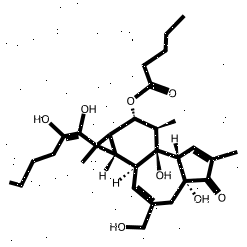 CCCCC(=O)O[C@H]1C2[C@H]([C@@H]3C=C(CO)C[C@]4(O)C(=O)C(C)=C[C@H]4[C@@]3(O)[C@@H]1C)C2(C)/C(O)=C(/O)CCCC